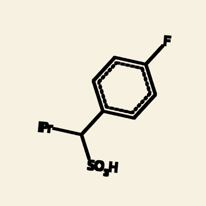 CC(C)C(c1ccc(F)cc1)S(=O)(=O)O